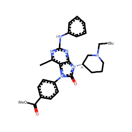 COC(=O)c1ccc(-n2c(=O)n([C@H]3CCCN(CC(C)(C)C)C3)c3nc(Nc4ccccc4)nc(C)c32)cc1